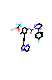 Cc1ccc(NC(=O)N2N=CC[C@H]2c2ccc(F)cc2)cc1C#Cc1cnc2cccnn12.O=C(O)C(F)(F)F